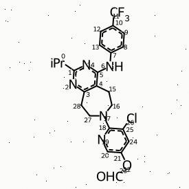 CC(C)c1nc2c(c(Nc3ccc(C(F)(F)F)cc3)n1)CCN(c1ncc(OC=O)cc1Cl)CC2